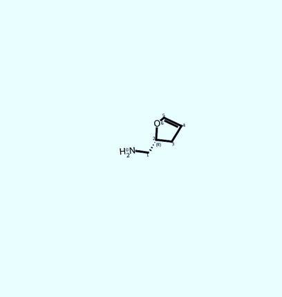 NC[C@H]1CC=CO1